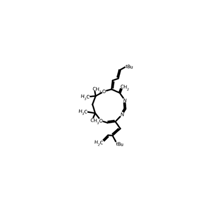 C=C/C(=C\C1=C\OC(C)(C)CC(C)(C)O/C(=C/C=C/C(C)(C)C)C(=C)N=C=N1)C(C)(C)C